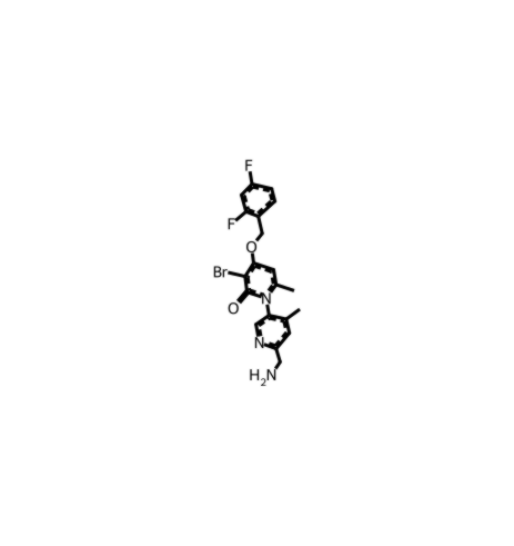 Cc1cc(CN)ncc1-n1c(C)cc(OCc2ccc(F)cc2F)c(Br)c1=O